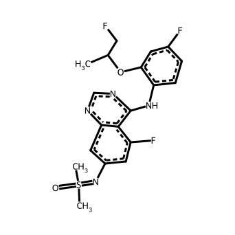 CC(CF)Oc1cc(F)ccc1Nc1ncnc2cc(N=S(C)(C)=O)cc(F)c12